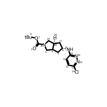 CC(C)(C)OC(=O)N1CC2C[C@@H](Nc3ccc(Cl)nn3)C[C@@H]2C1